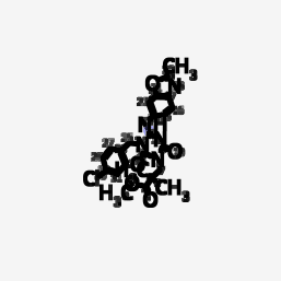 COC(=O)C(C)(C)Cn1c(=O)[nH]/c(=N\c2ccc3nc(C)oc3c2)n(Cc2ccc(Cl)cc2)c1=O